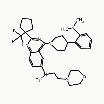 CN(C)c1ccccc1C1CCN(c2nc(C3(C(F)(F)F)CCCC3)nc3ccc(N(C)CCN4CCOCC4)cc23)CC1